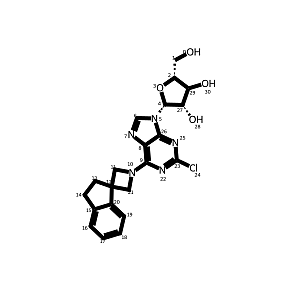 OC[C@H]1O[C@@H](n2cnc3c(N4CC5(CCc6ccccc65)C4)nc(Cl)nc32)[C@@H](O)C1O